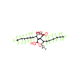 CC(C(C(=O)O)=C(C(=O)O)C(C)C(F)(F)C(F)(F)C(F)(F)C(F)(F)C(F)(F)C(F)(F)F)C(F)(F)C(F)(F)C(F)(F)C(F)(F)C(F)(F)C(F)(F)F